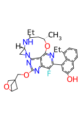 CCc1cccc2cc(O)cc(-c3nc4c5c(nc(OCC67COC(C6)C7)nc5c3F)N3C[C@@H]3N[C@@H](CC)C[C@H](C)O4)c12